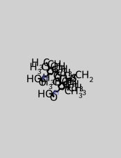 C=CSC=C.CC(C)(C)c1cc(/C=C/C(=O)O)cc(C(C)(C)C)c1O.CC(C)(C)c1cc(/C=C/C(=O)O)cc(C(C)(C)C)c1O